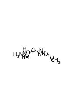 COCCC1CCN(c2ncc(-c3cccc(COC(=O)NC(=N)N)c3)cn2)CC1